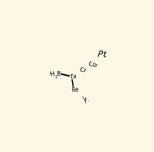 [BH2][Ta][Re].[Co].[Cr].[Pt].[Y]